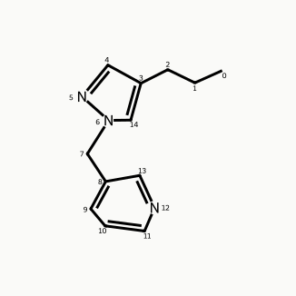 CCCc1cnn(Cc2cccnc2)c1